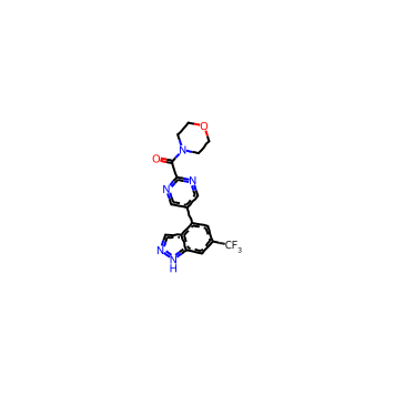 O=C(c1ncc(-c2cc(C(F)(F)F)cc3[nH]ncc23)cn1)N1CCOCC1